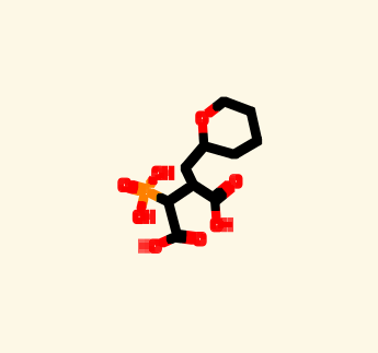 O=C(O)C(CC1CCCCO1)C(C(=O)O)P(=O)(O)O